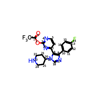 O=C(Oc1nccc(-c2c(-c3ccc(F)cc3)ncn2C2CCNCC2)n1)C(F)(F)F